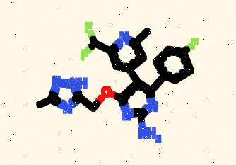 Cc1cc(-c2c(OCc3nc(C)n[nH]3)nc(N)nc2-c2ccc(F)cc2)cc(C(F)F)n1